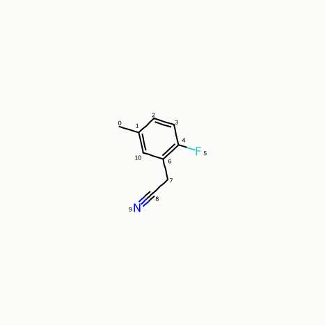 Cc1ccc(F)c(CC#N)c1